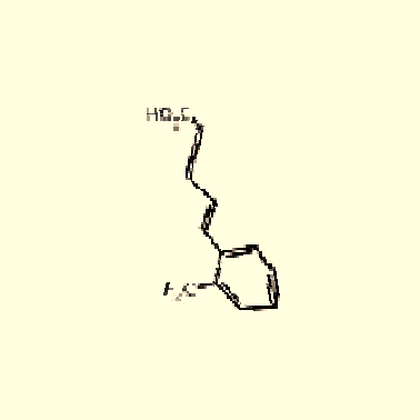 O=C(O)C=CC=Cc1ccccc1C(F)(F)F